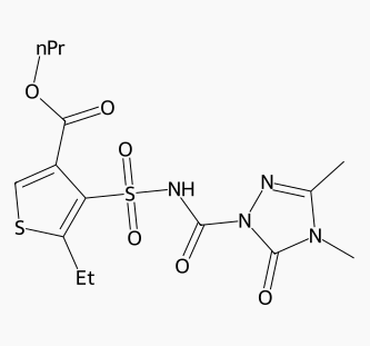 CCCOC(=O)c1csc(CC)c1S(=O)(=O)NC(=O)n1nc(C)n(C)c1=O